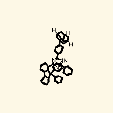 N#Cc1ccc(C2(c3ccccc3)c3ccccc3-c3cccc(-c4nc(-c5ccccc5)nc(-c5ccc(C67C[C@H]8C[C@@H](C6)C[C@@H](C7)C8)cc5)n4)c32)cc1